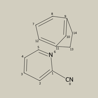 N#Cc1ccccn1.c1cc2cc(c1)CC2